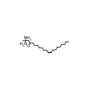 CCCCCCCC/C=C\CCCCCCCC(=O)CC(C)(N)N